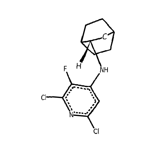 Fc1c(N[C@H]2CC3CCC2CC3)cc(Cl)nc1Cl